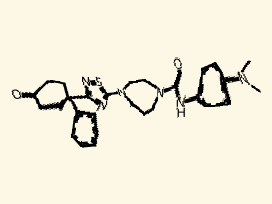 CN(C)c1ccc(NC(=O)N2CCCN(c3nc(C4(c5ccccc5)CCC(=O)CC4)ns3)CC2)cc1